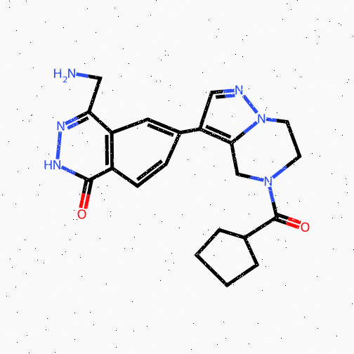 NCc1n[nH]c(=O)c2ccc(-c3cnn4c3CN(C(=O)C3CCCC3)CC4)cc12